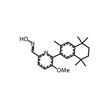 COc1ccc(C=NO)nc1-c1cc2c(cc1C)C(C)(C)CCC2(C)C